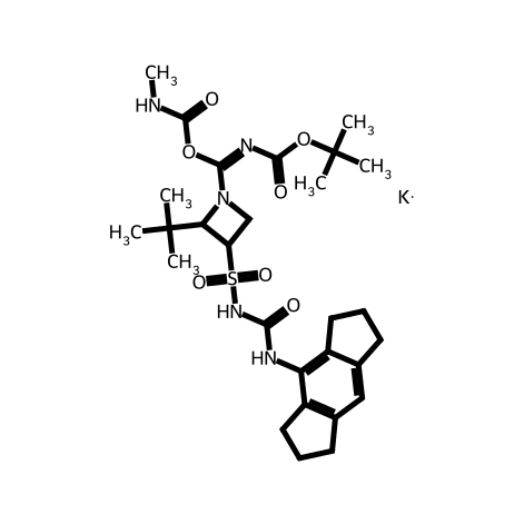 CNC(=O)OC(=NC(=O)OC(C)(C)C)N1CC(S(=O)(=O)NC(=O)Nc2c3c(cc4c2CCC4)CCC3)C1C(C)(C)C.[K]